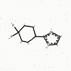 FC1(F)CCC(c2nccs2)CC1